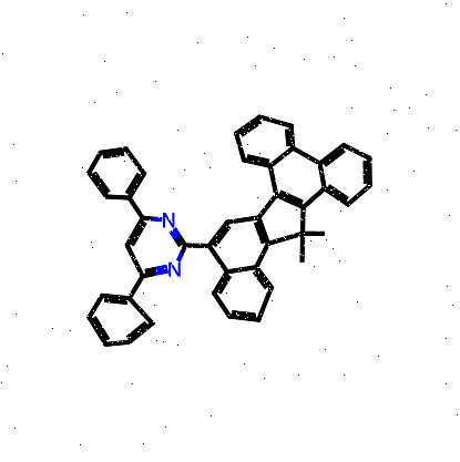 CC1(C)c2c(cc(-c3nc(-c4ccccc4)cc(-c4ccccc4)n3)c3ccccc23)-c2c1c1ccccc1c1ccccc21